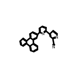 N#Cc1cc(-c2cccc(-c3ccc4c5ccccc5c5ccccc5c4c3)n2)ccn1